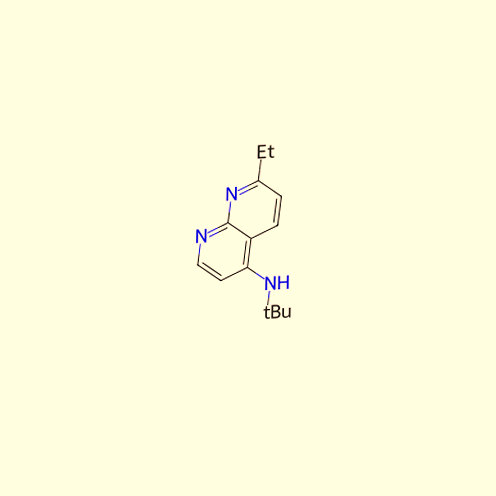 CCc1ccc2c(NC(C)(C)C)ccnc2n1